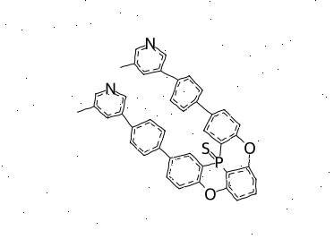 Cc1cncc(-c2ccc(-c3ccc4c(c3)P3(=S)c5cc(-c6ccc(-c7cncc(C)c7)cc6)ccc5Oc5cccc(c53)O4)cc2)c1